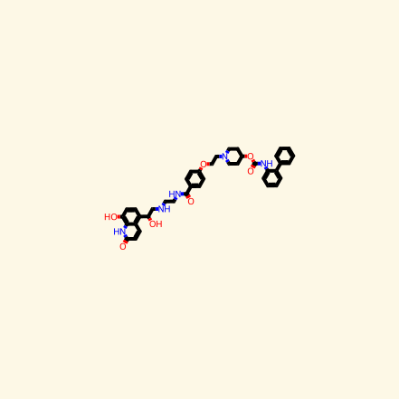 O=C(Nc1ccccc1-c1ccccc1)OC1CCN(CCOc2ccc(C(=O)NCCNCC(O)c3ccc(O)c4[nH]c(=O)ccc34)cc2)CC1